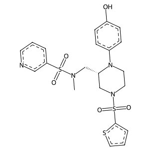 CN(C[C@H]1CN(S(=O)(=O)c2cccs2)CCN1c1ccc(O)cc1)S(=O)(=O)c1cccnc1